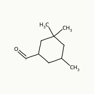 CC1CC([C]=O)CC(C)(C)C1